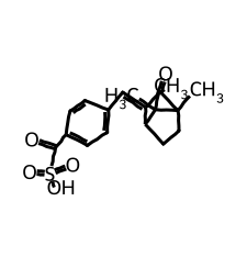 CC12CCC(C(=Cc3ccc(C(=O)S(=O)(=O)O)cc3)C1=O)C2(C)C